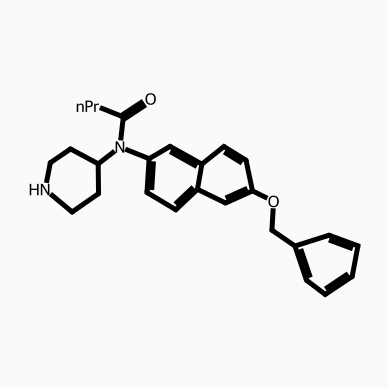 CCCC(=O)N(c1ccc2cc(OCc3ccccc3)ccc2c1)C1CCNCC1